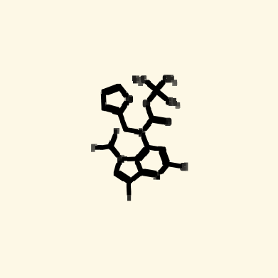 CC(C)(C)OC(=O)N(Cc1ccco1)c1cc(Cl)nc2c(I)cn(C(F)F)c12